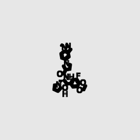 Cn1ncc2cc(N3CCC(C(=O)N[C@H](CN4CCCC4)[C@H](O)c4cc(F)c5c(c4)OCCO5)C3)ccc21